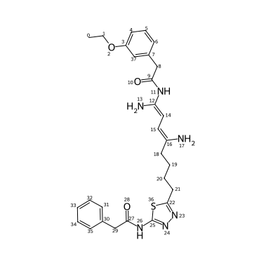 CCOc1cccc(CC(=O)N/C(N)=C/C=C(\N)CCCCc2nnc(NC(=O)Cc3ccccc3)s2)c1